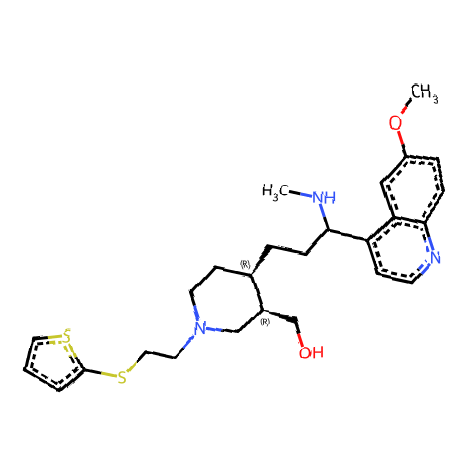 CNC(CC[C@@H]1CCN(CCSc2cccs2)C[C@@H]1CO)c1ccnc2ccc(OC)cc12